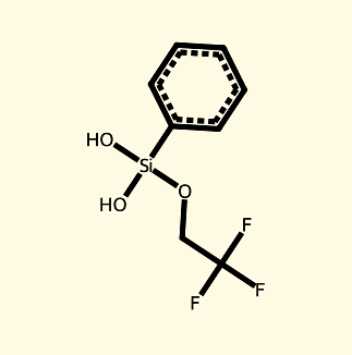 O[Si](O)(OCC(F)(F)F)c1ccccc1